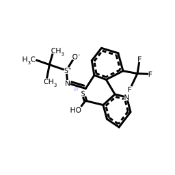 CC(C)(C)[S+]([O-])/N=C\c1cccc(C(F)(F)F)c1-c1ncccc1C(O)=S